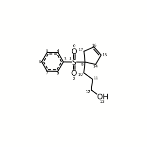 O=S(=O)(c1ccccc1)C1(CCCO)CC=CC1